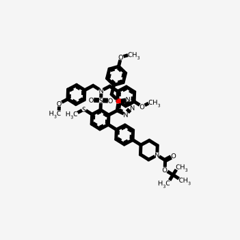 COc1ccc(CN(Cc2ccc(OC)cc2)S(=O)(=O)c2c(SC)ccc(-c3ccc(C4CCN(C(=O)OC(C)(C)C)CC4)cc3)c2-c2nnnn2Cc2ccc(OC)cc2)cc1